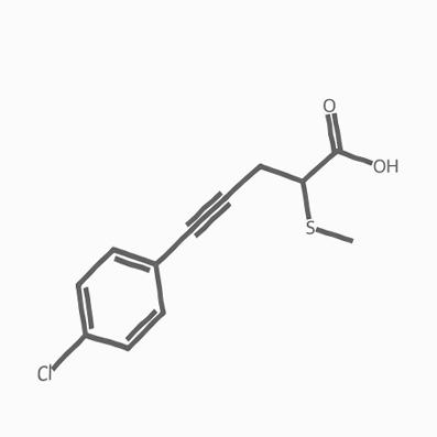 CSC(CC#Cc1ccc(Cl)cc1)C(=O)O